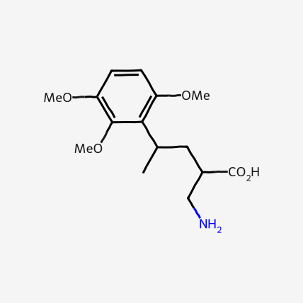 COc1ccc(OC)c(C(C)CC(CN)C(=O)O)c1OC